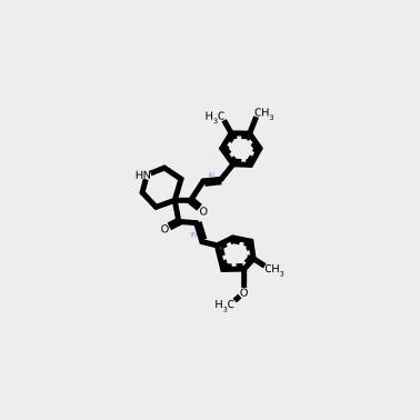 COc1cc(/C=C/C(=O)C2(C(=O)/C=C/c3ccc(C)c(C)c3)CCNCC2)ccc1C